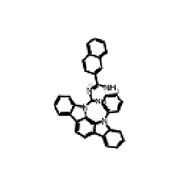 N=C(/N=C(\N)c1ccc2ccccc2c1)n1c2ccccc2c2ccc3c4ccccc4n(-c4ccccc4)c3c21